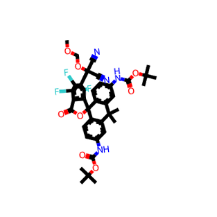 COCOC(C#N)(C#N)c1c(F)c(F)c2c(c1F)C1(OC2=O)c2ccc(NC(=O)OC(C)(C)C)cc2C(C)(C)c2cc(NC(=O)OC(C)(C)C)ccc21